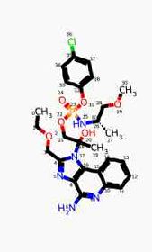 CCOCc1nc2c(N)nc3ccccc3c2n1C(C)(O)COP(=O)(N[C@@H](C)COC)Oc1ccc(Cl)cc1